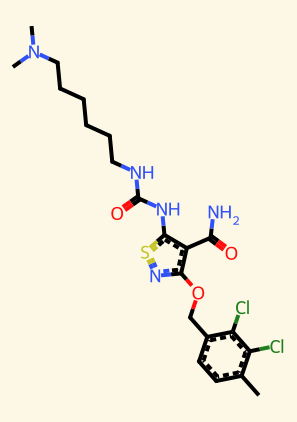 Cc1ccc(COc2nsc(NC(=O)NCCCCCCN(C)C)c2C(N)=O)c(Cl)c1Cl